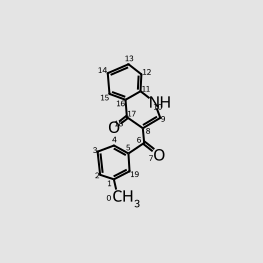 Cc1cccc(C(=O)c2c[nH]c3ccccc3c2=O)c1